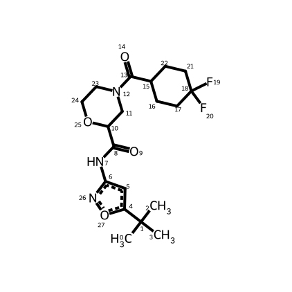 CC(C)(C)c1cc(NC(=O)C2CN(C(=O)C3CCC(F)(F)CC3)CCO2)no1